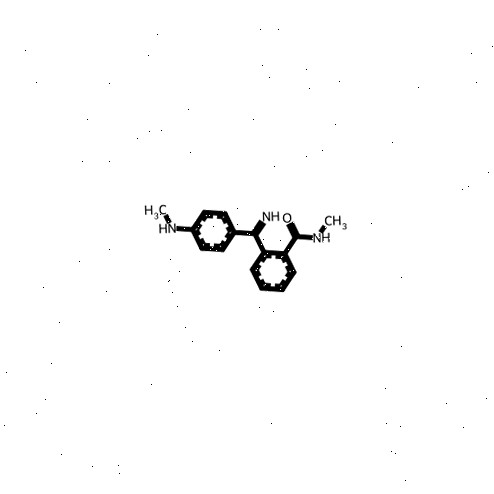 CNC(=O)c1ccccc1C(=N)c1ccc(NC)cc1